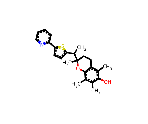 Cc1c(C)c2c(c(C)c1O)CCC(C)(C(C)c1ccc(-c3ccccn3)s1)O2